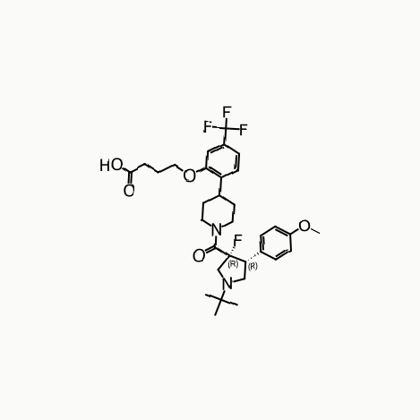 COc1ccc([C@@H]2CN(C(C)(C)C)C[C@@]2(F)C(=O)N2CCC(c3ccc(C(F)(F)F)cc3OCCCC(=O)O)CC2)cc1